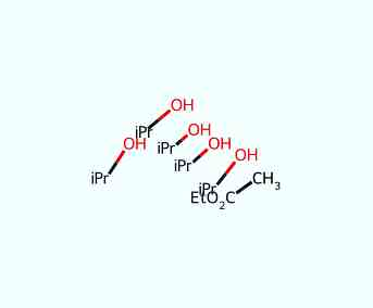 CC(C)O.CC(C)O.CC(C)O.CC(C)O.CC(C)O.CCOC(C)=O